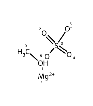 CO.O=S(=O)([O-])[O-].[Mg+2]